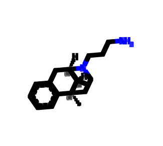 C[C@@H]1[C@H]2Cc3ccccc3[C@]1(C)CCN2CCCN